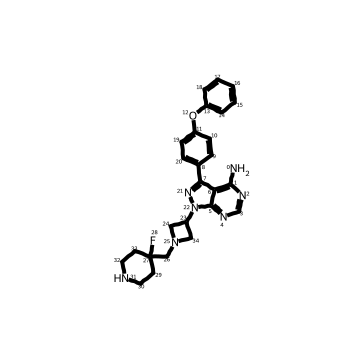 Nc1ncnc2c1c(-c1ccc(Oc3ccccc3)cc1)nn2C1CN(CC2(F)CCNCC2)C1